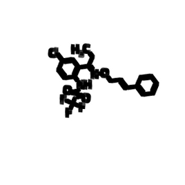 CC/C(=N\OC/C=C/c1ccccc1)c1cc(Cl)ccc1NS(=O)(=O)C(F)(F)F